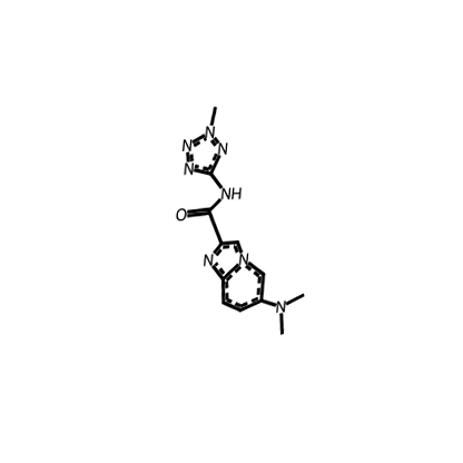 CN(C)c1ccc2nc(C(=O)Nc3nnn(C)n3)cn2c1